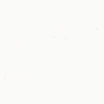 Cc1ccc(NC(=O)NCc2ccc(Oc3ccc4c(c3)COB4O)cc2)cc1